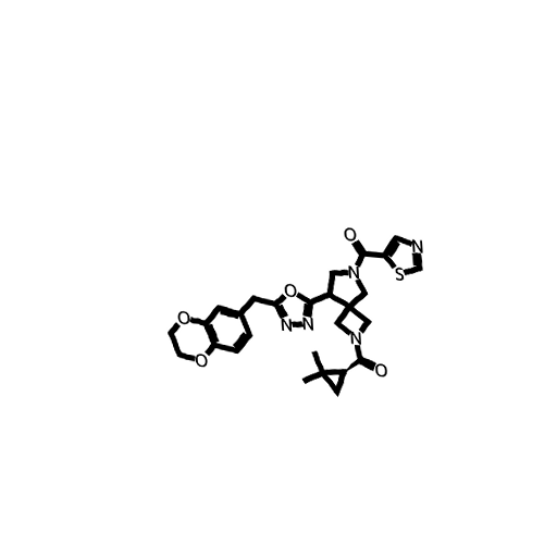 CC1(C)C[C@@H]1C(=O)N1CC2(CN(C(=O)c3cncs3)CC2c2nnc(Cc3ccc4c(c3)OCCO4)o2)C1